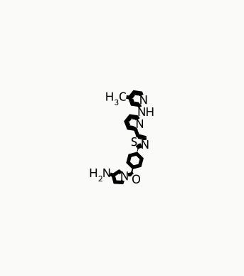 Cc1ccnc(Nc2cccc(-c3cnc([C@H]4CC[C@H](C(=O)N5CCC(N)C5)CC4)s3)n2)c1